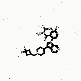 CC(C)N(C)C(=O)c1cc(F)ccc1-n1cc(C2CCN(CC3CC(F)(F)C3)CC2)c2ccncc21